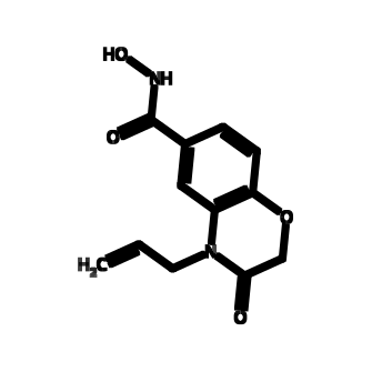 C=CCN1C(=O)COc2ccc(C(=O)NO)cc21